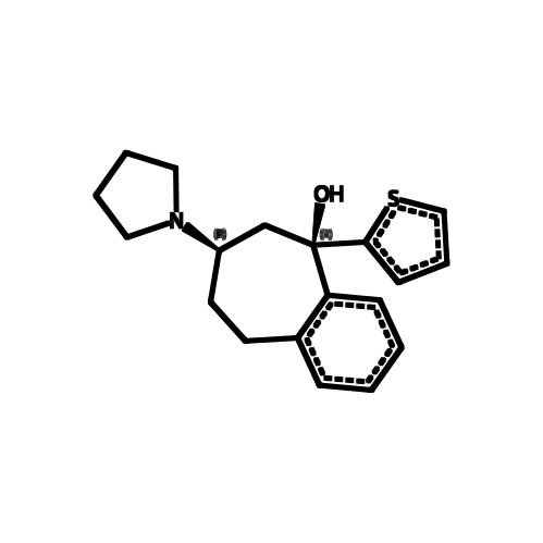 O[C@]1(c2cccs2)C[C@H](N2CCCC2)CCc2ccccc21